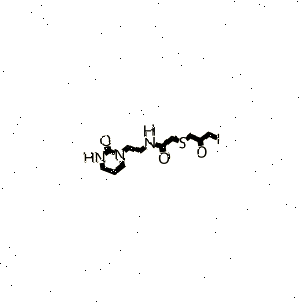 O=C(CI)CSCC(=O)NCCN1CCCNC1=O